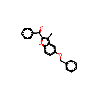 Cc1c(C(=O)c2ccccc2)oc2ccc(OCc3ccccc3)cc12